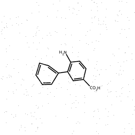 Nc1ccc(C(=O)O)cc1-c1ccccc1